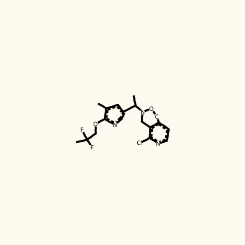 Cc1cc(C(C)N2Cc3c(ccnc3Cl)CO2)cnc1OCC(C)(F)F